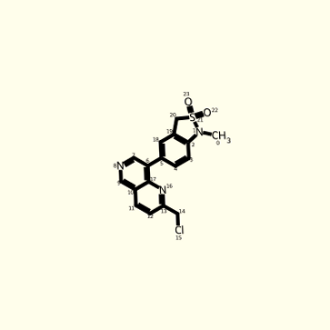 CN1c2ccc(-c3cncc4ccc(CCl)nc34)cc2CS1(=O)=O